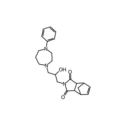 O=C1C2C3C=CC(C3)C2C(=O)N1CC(O)CN1CCCN(c2ccccc2)CC1